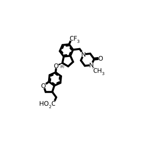 CN1CCN(Cc2c(C(F)(F)F)ccc3c2CC[C@H]3Oc2ccc3c(c2)OCC3CC(=O)O)CC1=O